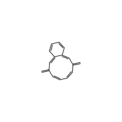 C=c1ccccc(=C)cc2ccccc2c1